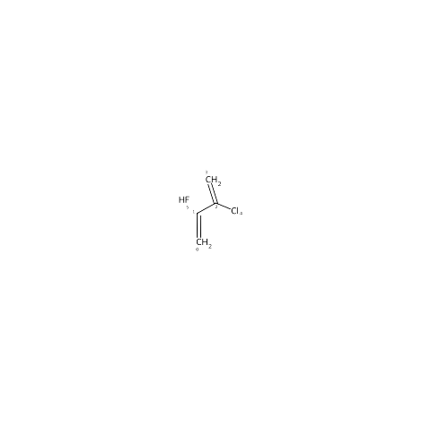 C=CC(=C)Cl.F